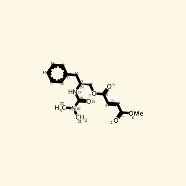 COC(=O)/C=C/C(=O)OC[C@H](Cc1ccccc1)NC(=O)N(C)C